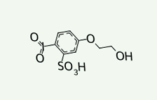 O=I(=O)c1ccc(OCCO)cc1S(=O)(=O)O